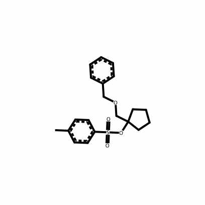 Cc1ccc(S(=O)(=O)OC2(COCc3ccccc3)CCCC2)cc1